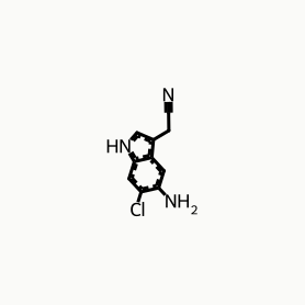 N#CCc1c[nH]c2cc(Cl)c(N)cc12